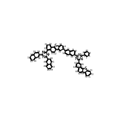 c1ccc(-c2nc(-c3ccc4cc(-c5ccc6sc7c8cccc(-c9nc(-c%10ccc%11ccccc%11c%10)nc(-c%10ccc%11ccccc%11c%10)n9)c8ccc7c6c5)ccc4c3)nc(-c3ccc4ccc5c6ccccc6sc5c4c3)n2)cc1